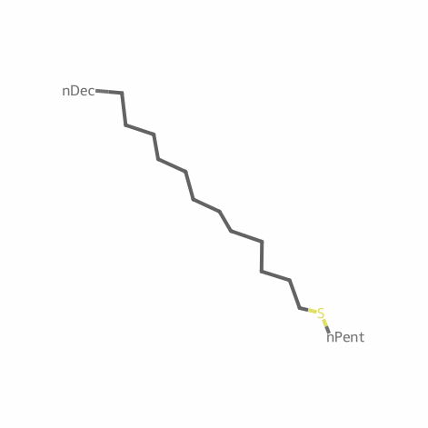 CCCCCCCCCCCCCCCCCCCCCCSCCCCC